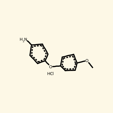 COc1ccc(Oc2ccc(N)cc2)cc1.Cl